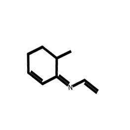 C=C/N=C1/C=CCCC1C